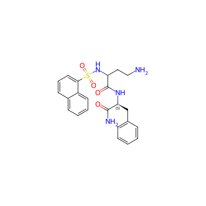 NCCC(NS(=O)(=O)c1cccc2ccccc12)C(=O)N[C@@H](Cc1ccccc1)C(N)=O